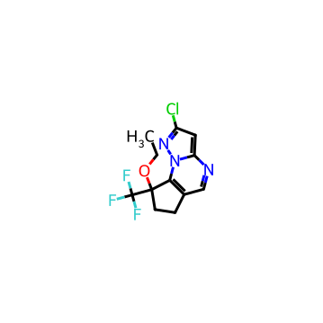 CCOC1(C(F)(F)F)CCc2cnc3cc(Cl)nn3c21